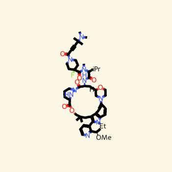 CCn1c(-c2cccnc2[C@H](C)OC)c2c3cc(ccc31)N1CCO[C@@H](C[C@H](NC(=O)C(C(C)C)N(C)C(=O)C3(F)CCN(C(=O)C#CC(C)(C)N(C)C)CC3)C(=O)N3CCCC(N3)C(=O)OCC(C)(C)C2)C1